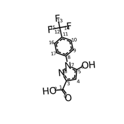 O=C(O)c1cc(O)n(-c2ccc(C(F)(F)F)cc2)n1